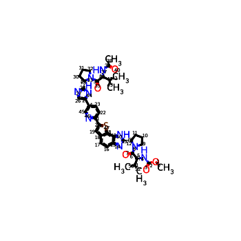 COC(=O)N[C@H](C(=O)N1CCC[C@H]1c1nc2ccc3cc(-c4ccc(-c5cnc([C@@H]6CCCN6C(=O)[C@@H](NC(C)=O)C(C)C)[nH]5)cn4)sc3c2[nH]1)C(C)C